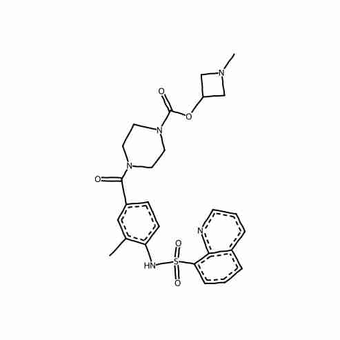 Cc1cc(C(=O)N2CCN(C(=O)OC3CN(C)C3)CC2)ccc1NS(=O)(=O)c1cccc2cccnc12